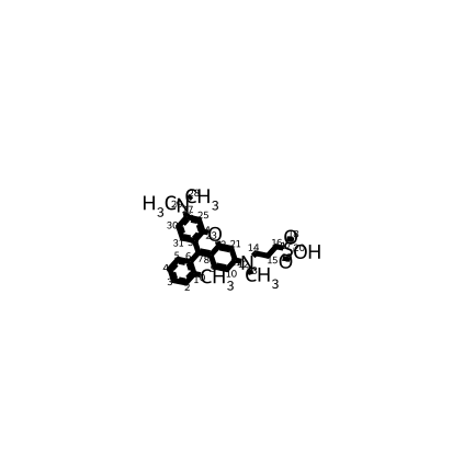 Cc1ccccc1C1=C2C=CC(N(C)CCCS(=O)(=O)O)C=C2Oc2cc(N(C)C)ccc21